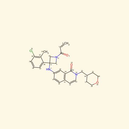 C=CC(=O)N1CC(Nc2ccc3ccn(CC4CCOCC4)c(=O)c3c2)(c2cccc(Cl)c2C)C1